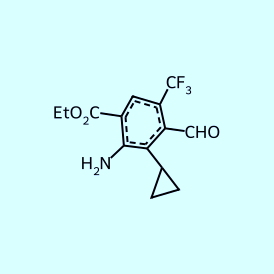 CCOC(=O)c1cc(C(F)(F)F)c(C=O)c(C2CC2)c1N